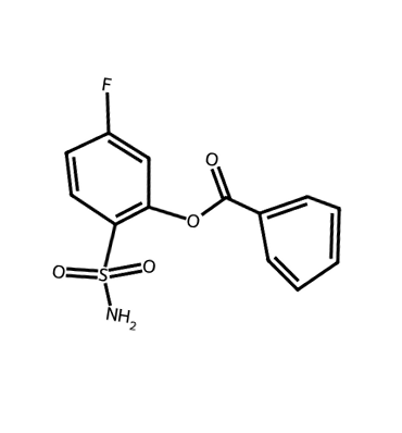 NS(=O)(=O)c1ccc(F)cc1OC(=O)c1ccccc1